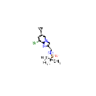 CC(C)(C)[S@@+]([O-])/N=C/c1cn2cc(C3CC3)cc(Br)c2n1